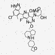 COc1nc(-c2c(C)c(Cl)cc3[nH]ncc23)c(F)c2nc(OC[C@]34CCC[C@H]3N(C3CCC5(CCO5)CC3)CCC4)nc(N3CCOC[C@@](C)(O)C3)c12